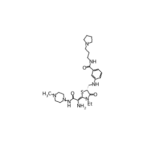 CCN1C(=O)[C@@H](CNc2cccc(C(=O)NCCCN3CCCC3)c2)S/C1=C(/N)C(=O)NN1CCN(C)CC1